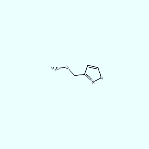 COCC1=N[N]C=C1